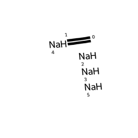 C=C.[NaH].[NaH].[NaH].[NaH]